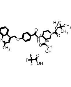 Cc1cc(COc2ccc(C(=O)N[C@H]3CCN(C(=O)OC(C)(C)C)C[C@@H]3C(=O)NO)cc2)c2ccccc2n1.O=C(O)C(F)(F)F